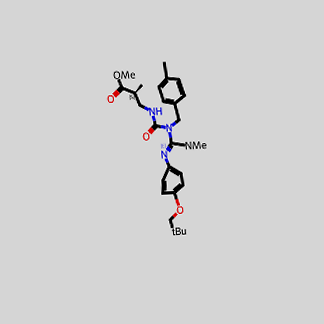 CN/C(=N\c1ccc(OCC(C)(C)C)cc1)N(Cc1ccc(C)cc1)C(=O)NC[C@H](C)C(=O)OC